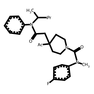 CC(=O)C1(CC(=O)N(c2ccccc2)C(C)C(C)C)CCN(C(=O)N(C)c2ccc(F)cc2)CC1